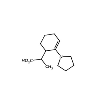 CC(C(=O)O)C1CCCC=C1N1CCCC1